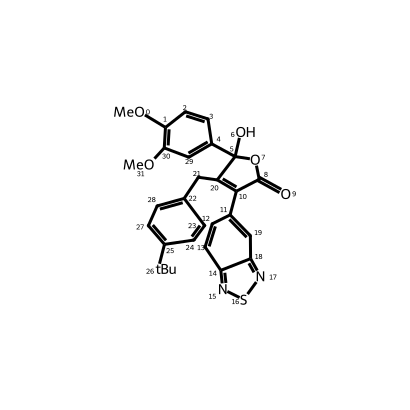 COc1ccc(C2(O)OC(=O)C(c3ccc4nsnc4c3)=C2Cc2ccc(C(C)(C)C)cc2)cc1OC